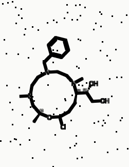 C[C@H]1CN(C)CCN(Cc2ccccc2)CCN(C)[C@@H]([C@H](O)CO)CCC(Cl)O1